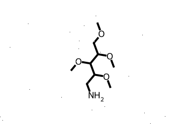 COCC(OC)C(OC)C(CN)OC